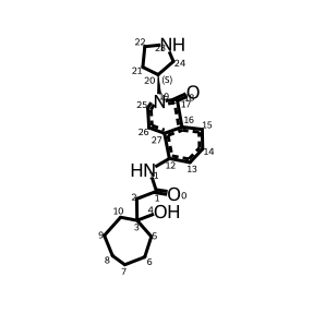 O=C(CC1(O)CCCCCC1)Nc1cccc2c(=O)n([C@H]3CCNC3)ccc12